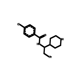 CC(C)CC(NC(=O)c1ccc(Cl)cc1)C1CCNCC1